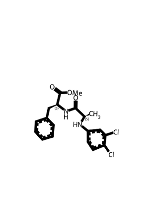 COC(=O)[C@H](Cc1ccccc1)NC(=O)[C@H](C)Nc1ccc(Cl)c(Cl)c1